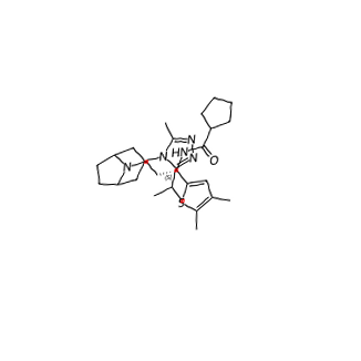 Cc1cc([C@H](CCN2C3CCC2CC(n2c(C)nnc2C(C)C)C3)NC(=O)C2CCCC2)sc1C